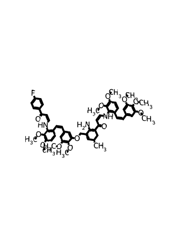 COc1cc(/C=C\c2ccc(OC)c(OC)c2N/C=C\C(=O)C2=C(N)C(COc3cc(/C=C\c4ccc(OC)c(OC)c4N/C=C\C(=O)c4ccc(F)cc4)cc(OC)c3OC)=CC(C)C2)cc(OC)c1OC